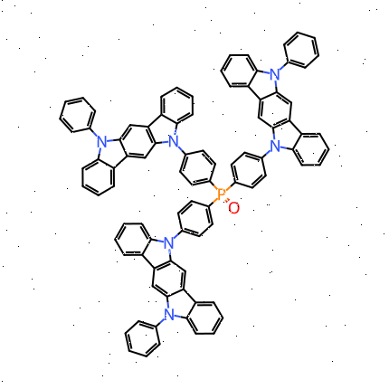 O=P(c1ccc(-n2c3ccccc3c3cc4c(cc32)c2ccccc2n4-c2ccccc2)cc1)(c1ccc(-n2c3ccccc3c3cc4c(cc32)c2ccccc2n4-c2ccccc2)cc1)c1ccc(-n2c3ccccc3c3cc4c(cc32)c2ccccc2n4-c2ccccc2)cc1